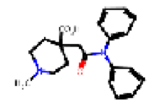 CN1CCC(CC(=O)N(c2ccccc2)c2ccccc2)(C(=O)O)CC1